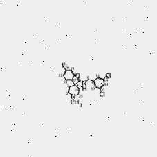 CN1CCC(C(=O)NCc2cc(Cl)cc(Cl)c2)(c2ccc(I)cc2)CC1